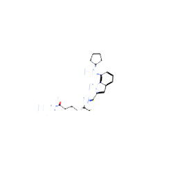 NC(=O)CCC[C@@H]1CSC(c2cc3cccc(NC4CCCC4)c3[nH]2)=N1